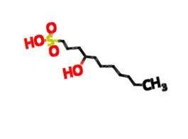 CCCCCCCC(O)CCCS(=O)(=O)O